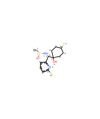 CC(C)(C)[S+]([O-])N[C@@H](c1cccc(F)n1)C1(O)CCC(F)CC1